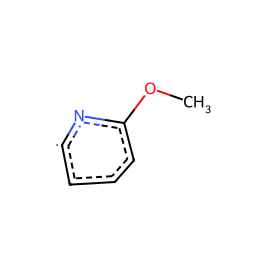 COc1ccc[c]n1